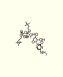 C[N+](C)(C)CCOP(=O)(O)OP(=O)(OCC[N+](C)(C)C)OC[C@H]1O[C@@H](n2ccc(N)nc2=O)[C@H](O)[C@@H]1O